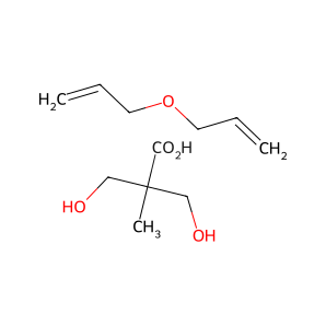 C=CCOCC=C.CC(CO)(CO)C(=O)O